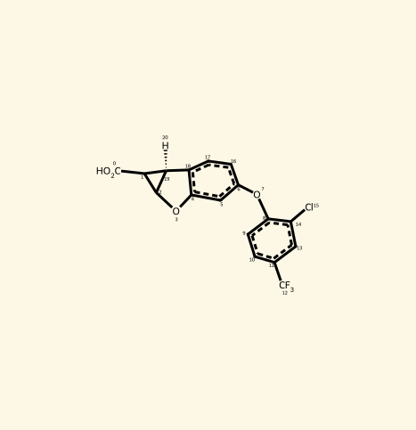 O=C(O)C1C2Oc3cc(Oc4ccc(C(F)(F)F)cc4Cl)ccc3[C@@H]21